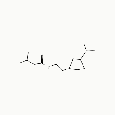 CC(C)CC(=O)NCCC1CCC(C(C)C)C1